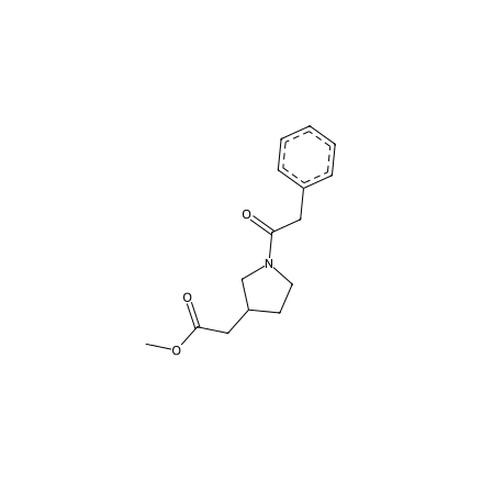 COC(=O)CC1CCN(C(=O)Cc2ccccc2)C1